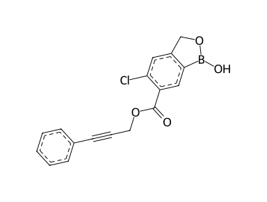 O=C(OCC#Cc1ccccc1)c1cc2c(cc1Cl)COB2O